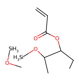 C=CC(=O)OC(CC)C(C)O[SiH3].CO[SiH3]